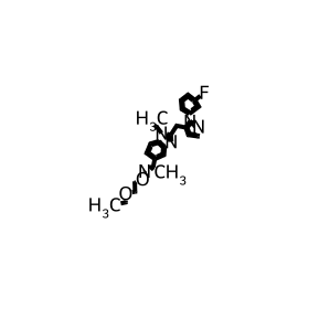 CCOCCO/N=C(\C)c1ccc2c(c1)nc(Cc1ccnn1-c1cccc(F)c1)n2CC